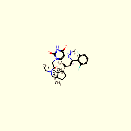 C=C(/C=C(\N=N/C)c1c(F)cccc1F)[C@@H]1CC[C@@](C)(CN(CC)C(=O)Cn2ccc(=O)[nH]c2=O)C1(C)C